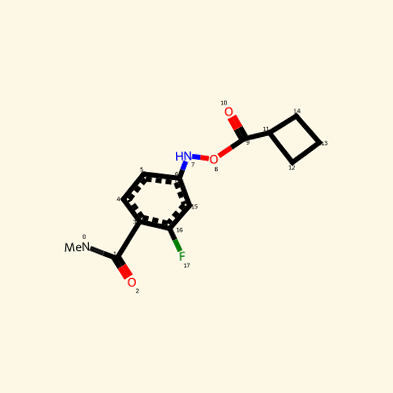 CNC(=O)c1ccc(NOC(=O)C2CCC2)cc1F